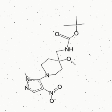 COC1(CNC(=O)OC(C)(C)C)CCN(c2c([N+](=O)[O-])cnn2C)CC1